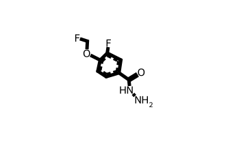 NNC(=O)c1ccc(OCF)c(F)c1